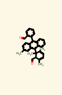 CC1=CC=C(C)C(C)(c2c3ccccc3c(-c3ccccc3C=O)c3ccc(C)cc23)C1C=O